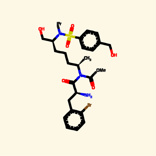 COC(=O)N(C(=O)[C@@H](N)Cc1ccccc1Br)[C@@H](C)CCC[C@@H](CO)N(C(C)C)S(=O)(=O)c1ccc(CO)cc1